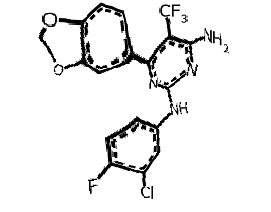 Nc1nc(Nc2ccc(F)c(Cl)c2)nc(-c2ccc3c(c2)OCO3)c1C(F)(F)F